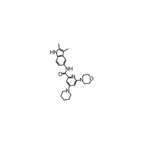 Cc1[nH]c2ccc(NC(=O)c3cc(N4CCCCC4)cc(N4CCOCC4)n3)cc2c1C